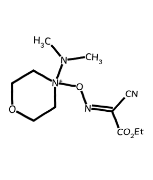 CCOC(=O)C(C#N)=NO[N+]1(N(C)C)CCOCC1